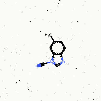 Cc1ccc2ncn(C#N)c2c1